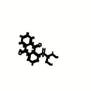 CCC(CC)Nc1cccc2c1C(=O)c1ccccc1C2=O